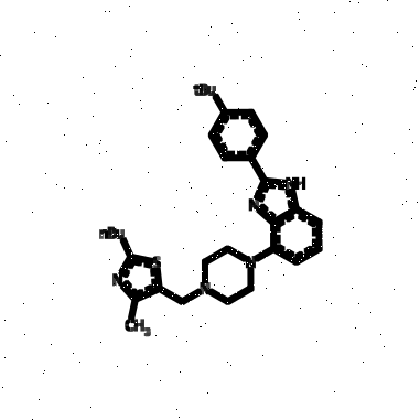 CCCCc1nc(C)c(CN2CCN(c3cccc4[nH]c(-c5ccc(C(C)(C)C)cc5)nc34)CC2)s1